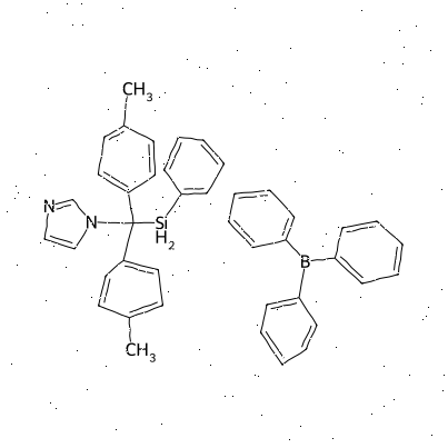 Cc1ccc(C([SiH2]c2ccccc2)(c2ccc(C)cc2)n2ccnc2)cc1.c1ccc(B(c2ccccc2)c2ccccc2)cc1